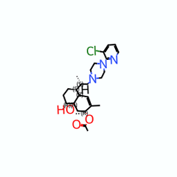 CC(=O)O[C@@H]1[C][C@@]2(O)[C@H](C)CC[C@@H]([C@H](C)CN3CCN(c4ncccc4Cl)CC3)[C@H]2C=C1C